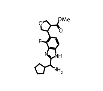 COC(=O)C1COCC1c1ccc2[nH]c(C(N)C3CCCC3)nc2c1F